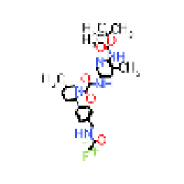 Cc1cc(NC(=O)C(=O)N2C[C@@H](C)CC[C@@H]2c2ccc(CNC(=O)C(F)(F)F)cc2)cnc1NC(=O)OC(C)(C)C